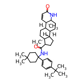 CC1(C)CCC(NC(=O)C2CC[C@H]3[C@@H]4CCC5NC(=O)C=C[C@]5(C)[C@@H]4CC[C@]23C)(c2ccc(C(C)(C)C)cc2)CC1